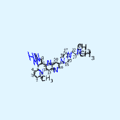 Cc1cccc(-c2n[nH]cc2-c2ccc3ncc(N4CCN(CCN(C)C)CC4)cc3n2)n1